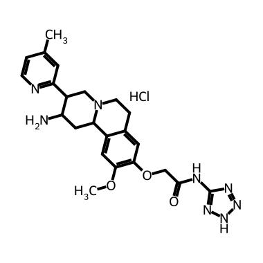 COc1cc2c(cc1OCC(=O)Nc1nn[nH]n1)CCN1CC(c3cc(C)ccn3)C(N)CC21.Cl